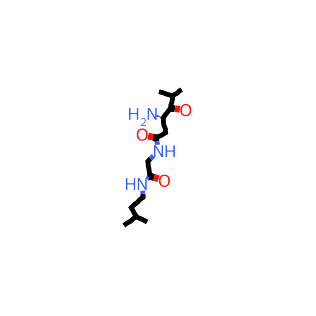 CC(C)CCNC(=O)CNC(=O)C[C@H](N)C(=O)C(C)C